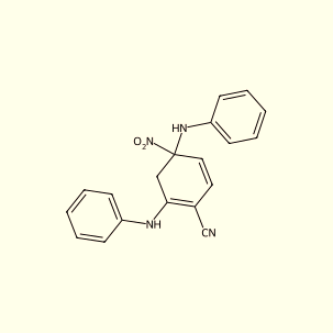 N#CC1=C(Nc2ccccc2)CC(Nc2ccccc2)([N+](=O)[O-])C=C1